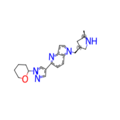 C[C@@H]1C[C@H](Cn2ccc3nc(-c4cnn(C5CCCCO5)c4)ccc32)CN1